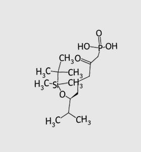 CC(C)[C@H](CCCC(=O)CP(=O)(O)O)O[Si](C)(C)C(C)(C)C